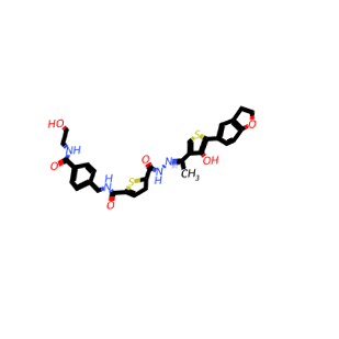 C/C(=N\NC(=O)C1CC=C(C(=O)NCc2ccc(C(=O)NCCO)cc2)S1)c1csc(-c2ccc3c(c2)CCO3)c1O